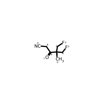 CC(CF)(CF)C(=O)CC#N